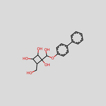 OCC1C(O)C(O)C1(O)C(O)Oc1ccc(-c2ccccc2)cc1